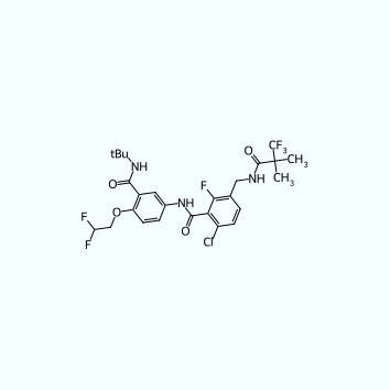 CC(C)(C)NC(=O)c1cc(NC(=O)c2c(Cl)ccc(CNC(=O)C(C)(C)C(F)(F)F)c2F)ccc1OCC(F)F